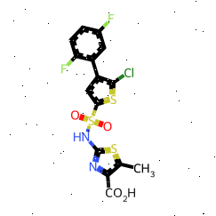 Cc1sc(NS(=O)(=O)c2cc(-c3cc(F)ccc3F)c(Cl)s2)nc1C(=O)O